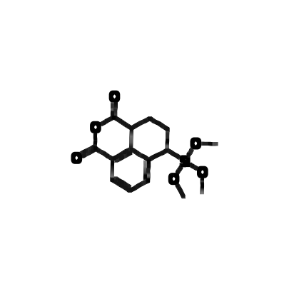 CO[Si](OC)(OC)C1CCC2C(=O)OC(=O)c3cccc1c32